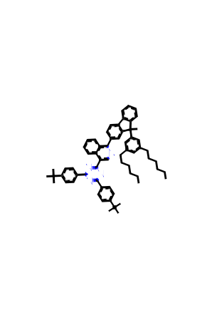 CCCCCCc1cc(CCCCCC)cc(C2(C)c3ccccc3-c3ccc(-c4ncc(-c5nc(-c6ccc(C(C)(C)C)cc6)nc(-c6ccc(C(C)(C)C)cc6)n5)c5ccccc45)cc32)c1